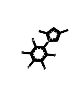 Cc1cc(C)n(-c2c(F)c(F)c(F)c(F)c2F)c1